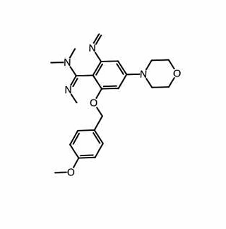 C=Nc1cc(N2CCOCC2)cc(OCc2ccc(OC)cc2)c1/C(=N\C)N(C)C